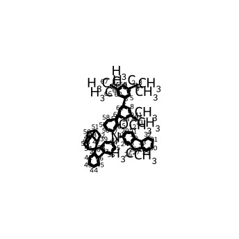 CC(C)(C)c1cc(-c2cc(C(C)(C)C)c3oc4c(N(c5ccc6c(c5)C(C)(C)c5ccccc5-6)c5ccc6c(c5)C5(c7ccccc7-6)C6CC7CC(C6)CC5C7)cccc4c3c2)cc(C(C)(C)C)c1